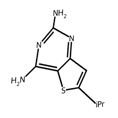 CC(C)c1cc2nc(N)nc(N)c2s1